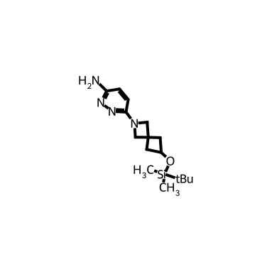 CC(C)(C)[Si](C)(C)OC1CC2(C1)CN(c1ccc(N)nn1)C2